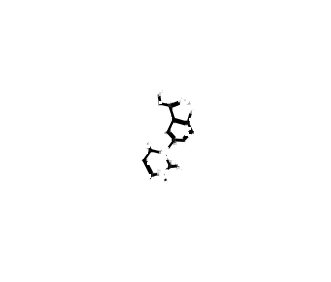 CN1C(C(F)(F)F)=CC(O)N(c2ccc3snc(C[O])c3c2)C1O